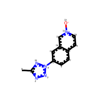 Cc1nnn(-c2ccc3cc[n+]([O-])cc3c2)n1